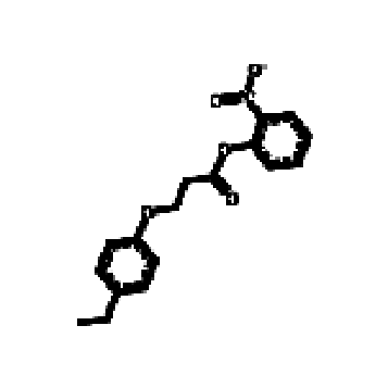 CCc1ccc(OCCC(=O)Oc2ccccc2[N+](=O)[O-])cc1